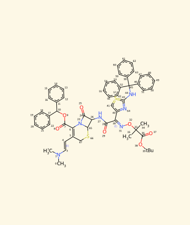 CN(C)/C=C/C1=C(C(=O)OC(c2ccccc2)c2ccccc2)N2C(=O)C(NC(=O)/C(=N/OC(C)(C)C(=O)OC(C)(C)C)c3csc(NC(c4ccccc4)(c4ccccc4)c4ccccc4)n3)C2SC1